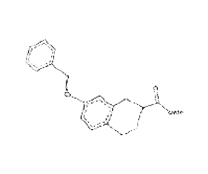 COC(=O)C1CCc2ccc(OCc3ccccc3)cc2C1